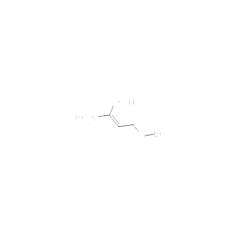 CCOCC=C(C(=O)O)C(=O)O